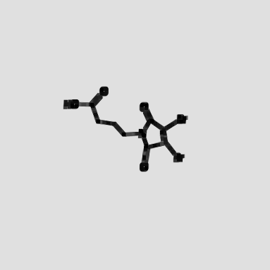 O=C(O)CCCN1C(=O)C(Br)=C(Br)C1=O